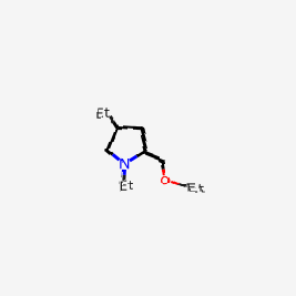 CCOCC1CC(CC)CN1CC